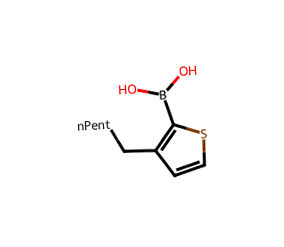 CCCCCCc1ccsc1B(O)O